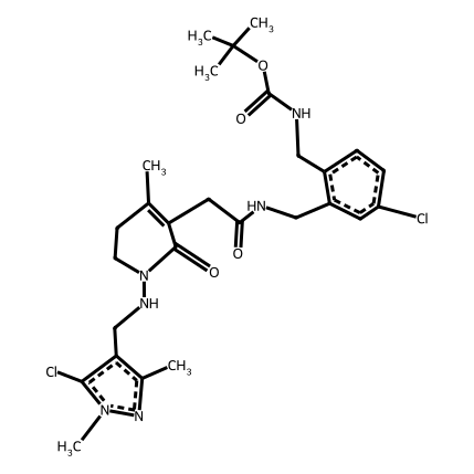 CC1=C(CC(=O)NCc2cc(Cl)ccc2CNC(=O)OC(C)(C)C)C(=O)N(NCc2c(C)nn(C)c2Cl)CC1